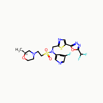 C[C@H]1CN(CCS(=O)(=O)N(Cc2ncc(-c3nnc(C(F)F)o3)s2)c2cncc(F)c2)CCO1